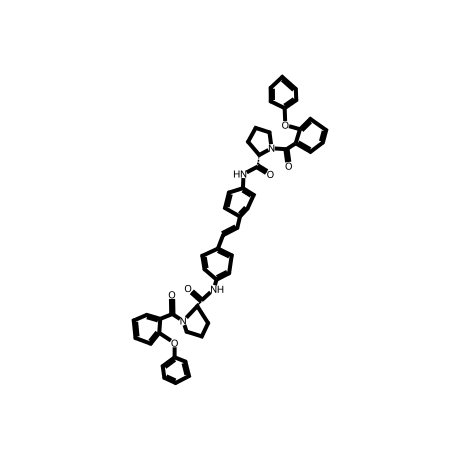 O=C(Nc1ccc(/C=C/c2ccc(NC(=O)[C@@H]3CCCN3C(=O)c3ccccc3Oc3ccccc3)cc2)cc1)[C@@H]1CCCN1C(=O)c1ccccc1Oc1ccccc1